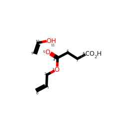 C=CCOC(=O)CCC(=O)O.C=CO